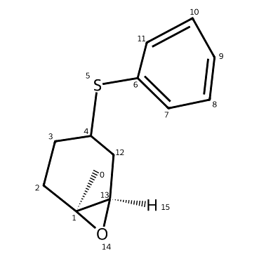 C[C@]12CCC(Sc3ccccc3)C[C@H]1O2